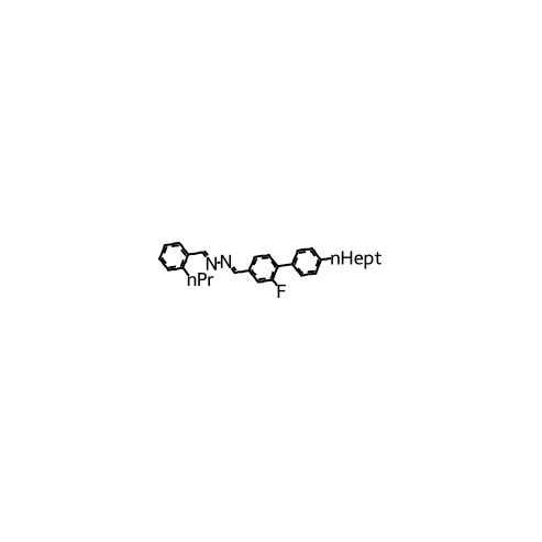 CCCCCCCc1ccc(-c2ccc(C=NN=Cc3ccccc3CCC)cc2F)cc1